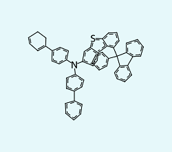 C1=CCCC(c2ccc(N(c3ccc(-c4ccccc4)cc3)c3ccc4c(c3)sc3cccc(C5(c6ccccc6)c6ccccc6-c6ccccc65)c34)cc2)=C1